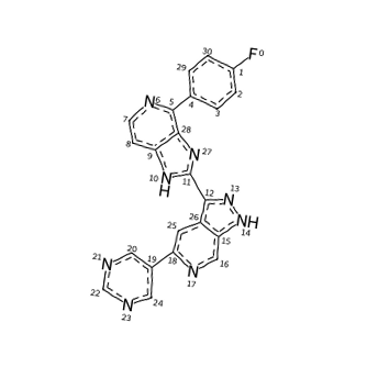 Fc1ccc(-c2nccc3[nH]c(-c4n[nH]c5cnc(-c6cncnc6)cc45)nc23)cc1